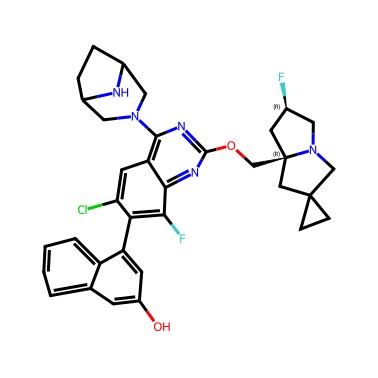 Oc1cc(-c2c(Cl)cc3c(N4CC5CCC(C4)N5)nc(OC[C@@]45C[C@@H](F)CN4CC4(CC4)C5)nc3c2F)c2ccccc2c1